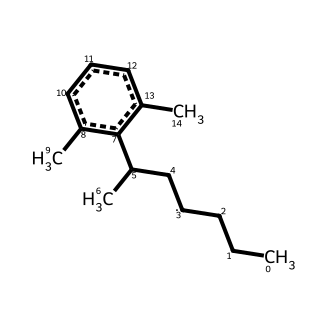 CCC[CH]CC(C)c1c(C)cccc1C